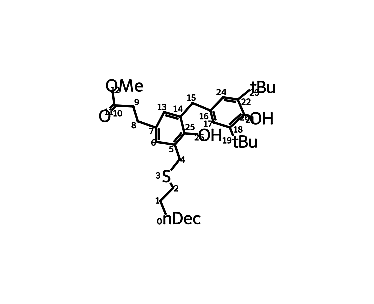 CCCCCCCCCCCCSCc1cc(CCC(=O)OC)cc(Cc2cc(C(C)(C)C)c(O)c(C(C)(C)C)c2)c1O